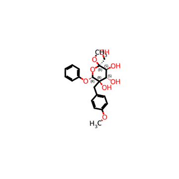 COc1ccc(C[C@]2(O)[C@H](Oc3ccccc3)O[C@@](CO)(OC)[C@@H](O)[C@@H]2O)cc1